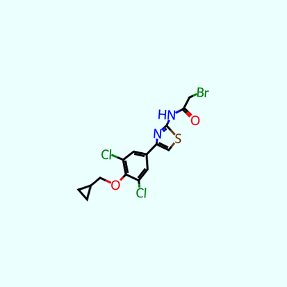 O=C(CBr)Nc1nc(-c2cc(Cl)c(OCC3CC3)c(Cl)c2)cs1